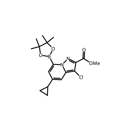 COC(=O)c1nn2c(B3OC(C)(C)C(C)(C)O3)cc(C3CC3)cc2c1Cl